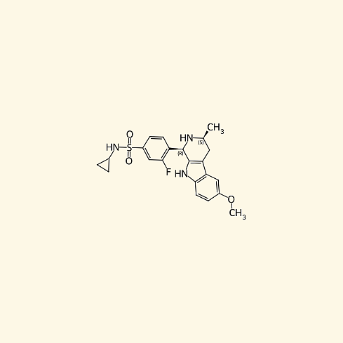 COc1ccc2[nH]c3c(c2c1)C[C@H](C)N[C@@H]3c1ccc(S(=O)(=O)NC2CC2)cc1F